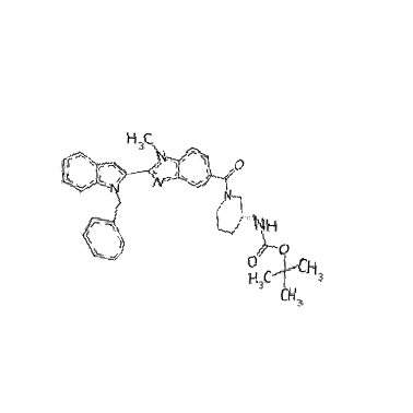 Cn1c(-c2cc3ccccc3n2Cc2ccccc2)nc2cc(C(=O)N3CCC[C@@H](NC(=O)OC(C)(C)C)C3)ccc21